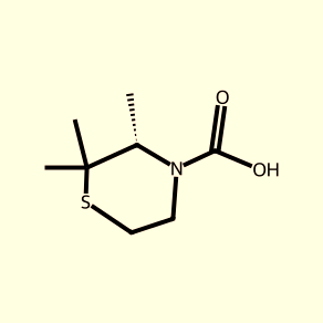 C[C@@H]1N(C(=O)O)CCSC1(C)C